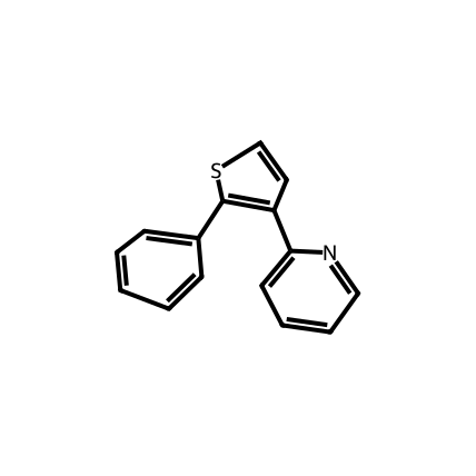 c1ccc(-c2sccc2-c2ccccn2)cc1